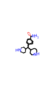 NC(=O)c1ccc(C(C2CCCNCC2)C2CCCNCC2)cc1